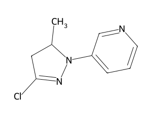 CC1CC(Cl)=NN1c1cccnc1